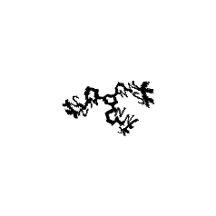 CC1(C)N=C(c2cccc(-c3cc(-c4cccc(C5=NC(C)(C)C(C)(C)S5)n4)cc(-c4cccc(C5=NC(C)(C)C(C)(C)S5)n4)c3)n2)SC1(C)C